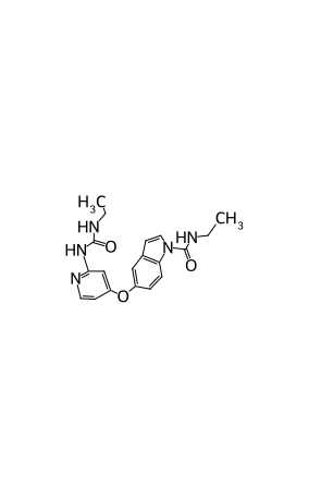 CCNC(=O)Nc1cc(Oc2ccc3c(ccn3C(=O)NCC)c2)ccn1